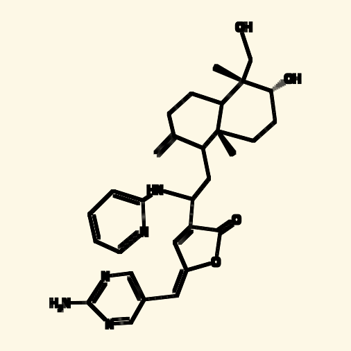 C=C1CCC2[C@](C)(CC[C@@H](O)[C@@]2(C)CO)C1CC(Nc1ccccn1)C1=C/C(=C\c2cnc(N)nc2)OC1=O